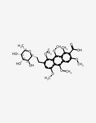 COc1cc2c(OC)c3c(OC)cc(CC[C@H]4O[C@@H](C)[C@@H](O)[C@@H](O)[C@@H]4O)c(OC)c3c(OC)c2c(C)c1C(=O)O